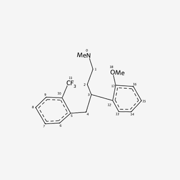 CNCCC(Cc1ccccc1C(F)(F)F)c1ccccc1OC